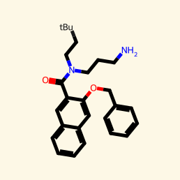 CC(C)(C)CCN(CCCN)C(=O)c1cc2ccccc2cc1OCc1ccccc1